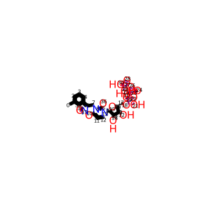 Cc1cccc2c(Cn3c(=O)ccn([C@@H]4O[C@H](COP(=O)(O)OP(=O)(O)OP(=O)(O)O)[C@H](O)[C@@H]4O)c3=O)noc12